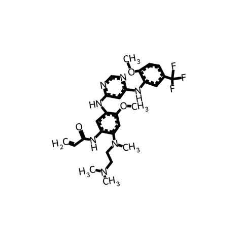 C=CC(=O)Nc1cc(Nc2cc(Nc3cc(C(F)(F)F)ccc3OC)ncn2)c(OC)cc1N(C)CCN(C)C